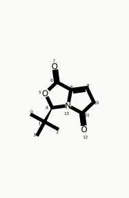 CC(C)(C)[C@H]1OC(=O)C2=CCC(=O)N21